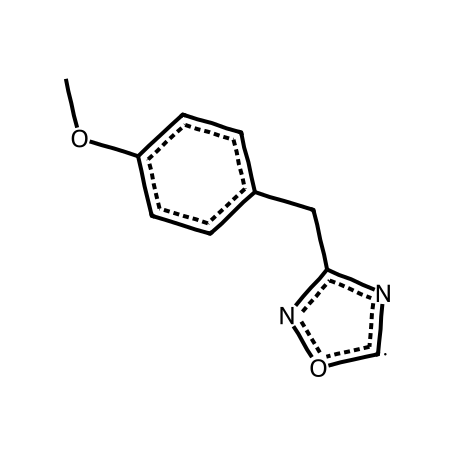 COc1ccc(Cc2n[c]on2)cc1